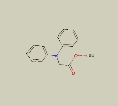 CCCCOC(=O)CN(c1ccccc1)c1ccccc1